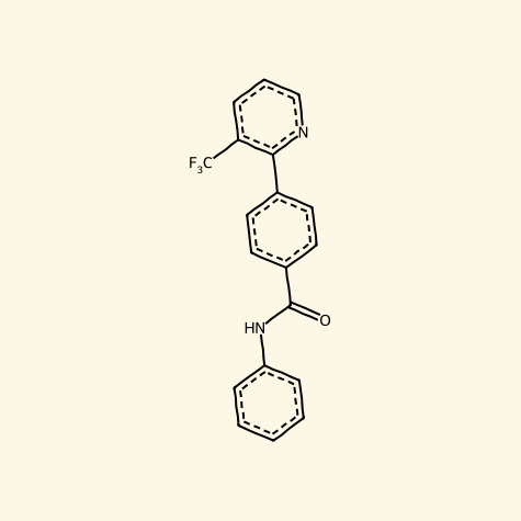 O=C(Nc1ccccc1)c1ccc(-c2ncccc2C(F)(F)F)cc1